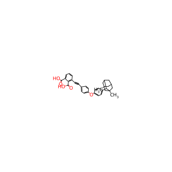 CC12CC3CC(C1)C(c1ccc(Oc4ccc(C#Cc5cccc(C(=O)O)c5C(=O)O)cc4)cc1)C(C)(C3)C2